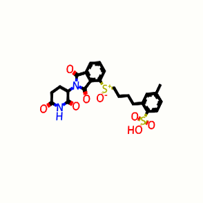 Cc1ccc(S(=O)(=O)O)c(CCCC[S+]([O-])c2cccc3c2C(=O)N(C2CCC(=O)NC2=O)C3=O)c1